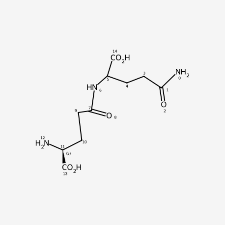 NC(=O)CCC(NC(=O)CC[C@H](N)C(=O)O)C(=O)O